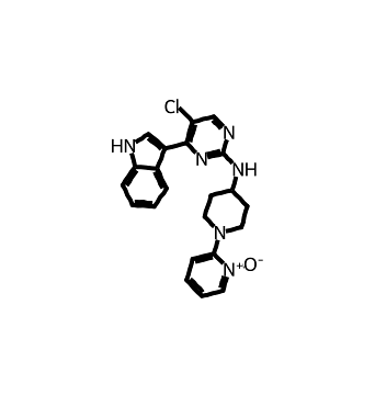 [O-][n+]1ccccc1N1CCC(Nc2ncc(Cl)c(-c3c[nH]c4ccccc34)n2)CC1